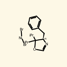 CC(C)C1(C(C)C)OC=N[C@@H]1Cc1ccccc1.[Br][Ni][Br]